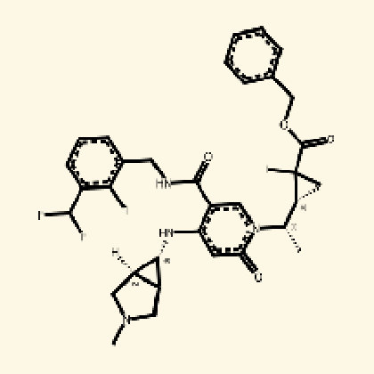 C[C@@H]([C@H]1CC1(I)C(=O)OCc1ccccc1)n1cc(C(=O)NCc2cccc(C(F)F)c2I)c(N[C@@H]2C3CN(C)C[C@H]32)cc1=O